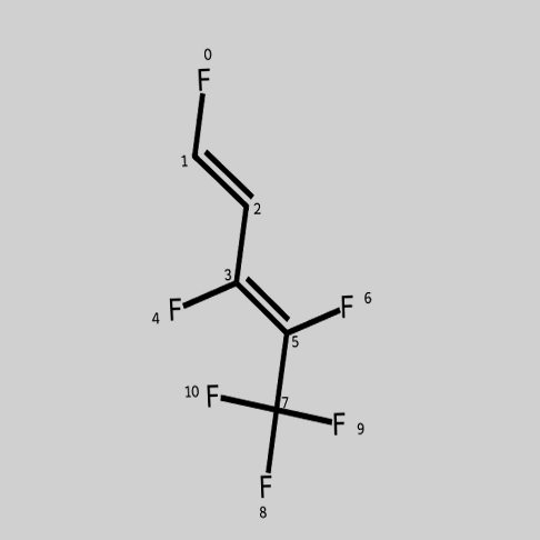 FC=CC(F)=C(F)C(F)(F)F